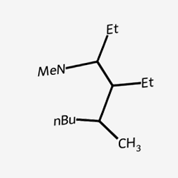 CCCCC(C)C(CC)C(CC)NC